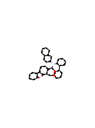 c1ccc(-c2ccccc2N(c2ccc3ccccc3c2)c2cccc3c2ccc2c4ccccc4oc32)cc1